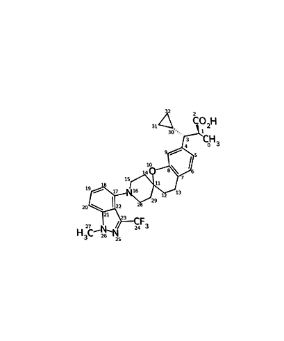 C[C@H](C(=O)O)[C@H](c1ccc2c(c1)OC1(CC2)CCN(c2cccc3c2c(C(F)(F)F)nn3C)CC1)C1CC1